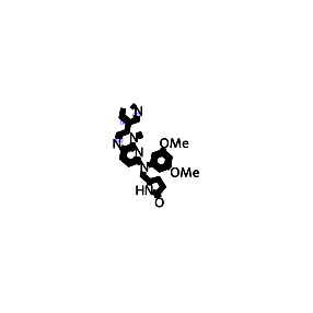 C=Nc1nc(N(CC2CCC(=O)N2)c2cc(OC)cc(OC)c2)ccc1/N=C\CC(/C=N\C)=C/C